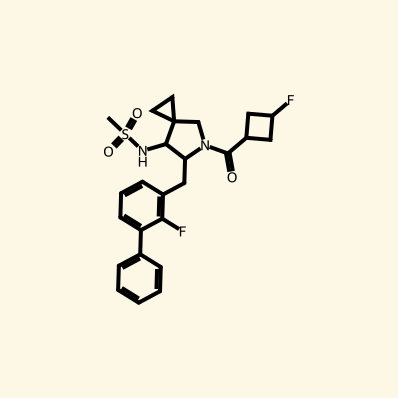 CS(=O)(=O)NC1C(Cc2cccc(-c3ccccc3)c2F)N(C(=O)C2CC(F)C2)CC12CC2